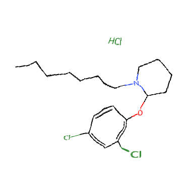 CCCCCCCN1CCCCC1Oc1ccc(Cl)cc1Cl.Cl